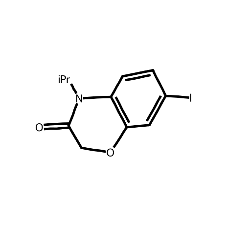 CC(C)N1C(=O)COc2cc(I)ccc21